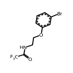 O=C(NCCOc1cccc(Br)c1)C(F)(F)F